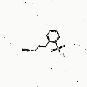 C#CCNCc1ccccc1S(N)(=O)=O